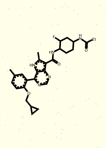 CCC(=O)NC1CCC(NC(=O)c2c(C)[nH]c3c(-c4cc(C)ccc4OCC4CC4)ncnc23)C(F)C1